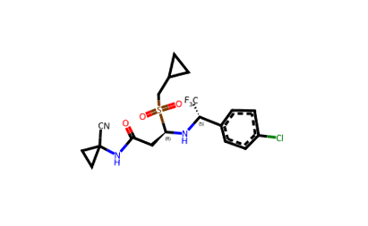 N#CC1(NC(=O)C[C@H](N[C@@H](c2ccc(Cl)cc2)C(F)(F)F)S(=O)(=O)CC2CC2)CC1